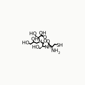 N[C@@H](CS)C(=O)N[C@@H](CO)C(=O)N(CC(O)CO)[C@@H](CO)C(=O)O